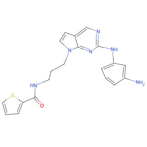 Nc1cccc(Nc2ncc3ccn(CCCNC(=O)c4cccs4)c3n2)c1